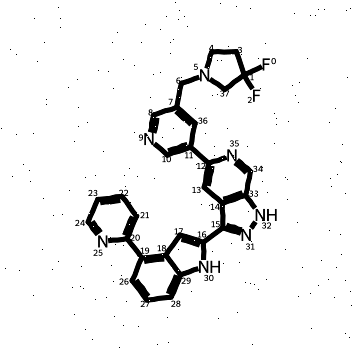 FC1(F)CCN(Cc2cncc(-c3cc4c(-c5cc6c(-c7ccccn7)cccc6[nH]5)n[nH]c4cn3)c2)C1